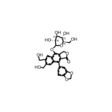 O=C1OCc2c1c(-c1ccc3c(c1)OCO3)c1cc(CO)c(CO)cc1c2OC1O[C@H](CO)[C@@H](O)[C@H](O)[C@H]1O